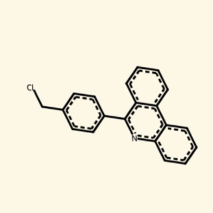 ClCc1ccc(-c2nc3ccccc3c3ccccc23)cc1